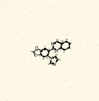 c1ccc2nc(-c3cc4c(cc3-n3ccnc3)OCO4)ncc2c1